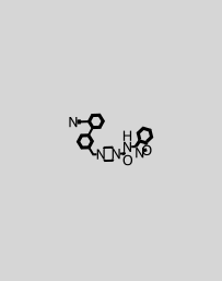 N#Cc1ccccc1-c1cccc(CN2CCN(C(=O)Nc3noc4ccccc34)CC2)c1